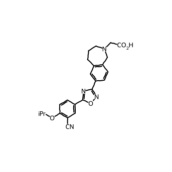 CC(C)Oc1ccc(-c2nc(-c3ccc4c(c3)CCCN(CC(=O)O)C4)no2)cc1C#N